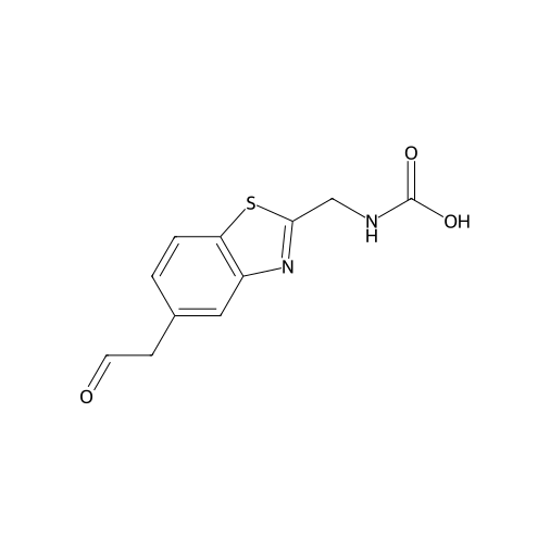 O=CCc1ccc2sc(CNC(=O)O)nc2c1